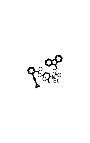 CCN(C(=O)OCC1c2ccccc2-c2ccccc21)[C@@H]1CC[C@H](OC(=O)c2ccccc2C#CC2CC2)OC1C